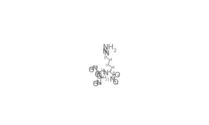 NN=NCCCCC(C(=O)N=O)N(CC(=O)N=O)CC(=O)N=O